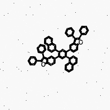 c1ccc(-c2oc3ccc(-c4cc(-c5cccc6ccccc56)c(-c5ccc6oc(-c7ccccc7)c(-c7ccccc7)c6c5)cc4-c4ccc5ccccc5c4)cc3c2-c2ccccc2)cc1